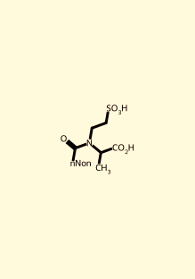 CCCCCCCCCC(=O)N(CCS(=O)(=O)O)C(C)C(=O)O